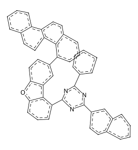 c1ccc(-c2nc(-c3ccc4ccccc4c3)nc(-c3cccc4oc5ccc(-c6cccc7ccc8c9ccccc9ccc8c67)cc5c34)n2)cc1